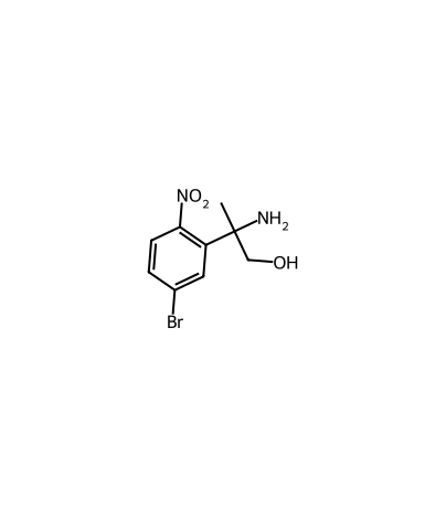 CC(N)(CO)c1cc(Br)ccc1[N+](=O)[O-]